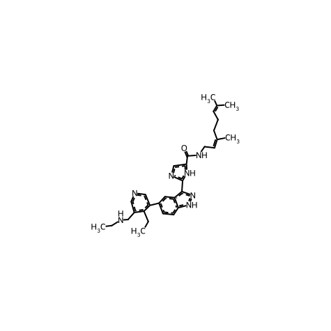 CCNCc1cncc(-c2ccc3[nH]nc(-c4ncc(C(=O)NCC=C(C)CCC=C(C)C)[nH]4)c3c2)c1CC